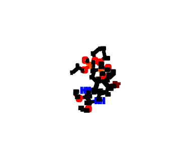 CCOP(=O)(OCC)C(Cc1cc(Br)cc2c1NC(OC)C(OC)N2)P(=O)(OCC)OCC